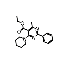 CCOC(=O)c1c(C)nc(-c2ccccc2)nc1N1CCCCC1